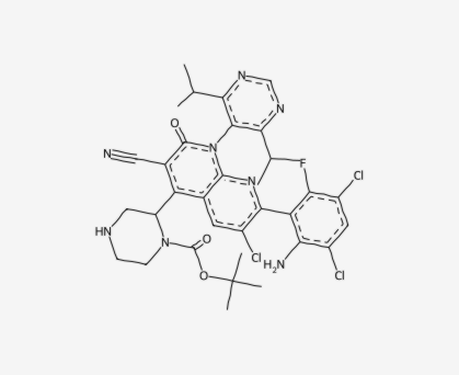 CC(C)c1ncnc(C(C)C)c1-n1c(=O)c(C#N)c(C2CNCCN2C(=O)OC(C)(C)C)c2cc(Cl)c(-c3c(N)c(Cl)cc(Cl)c3F)nc21